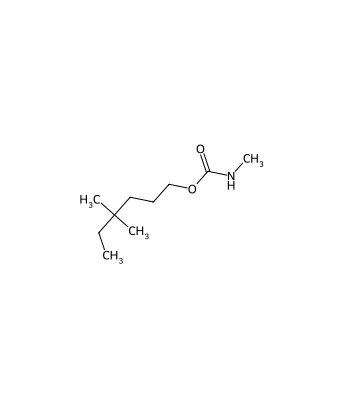 CCC(C)(C)CCCOC(=O)NC